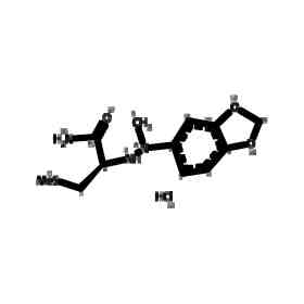 CSC[C@H](NN(C)c1ccc2c(c1)OCO2)C(N)=O.Cl